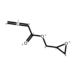 C=C=CC(=O)OCC1CO1